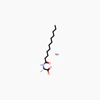 CCCCCCCCCCCC(=O)N[C@@H](C)C(=O)[O-].[Na+]